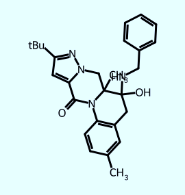 Cc1ccc2c(c1)CC(O)(NCc1ccccc1)C1(C)Cn3nc(C(C)(C)C)cc3C(=O)N21